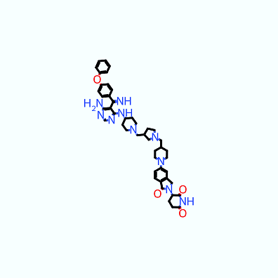 N=C(c1ccc(Oc2ccccc2)cc1)c1c(N)ncnc1NC1CCN(CC2CCN(CC3CCN(c4ccc5c(c4)CN(C4CCC(=O)NC4=O)C5=O)CC3)C2)CC1